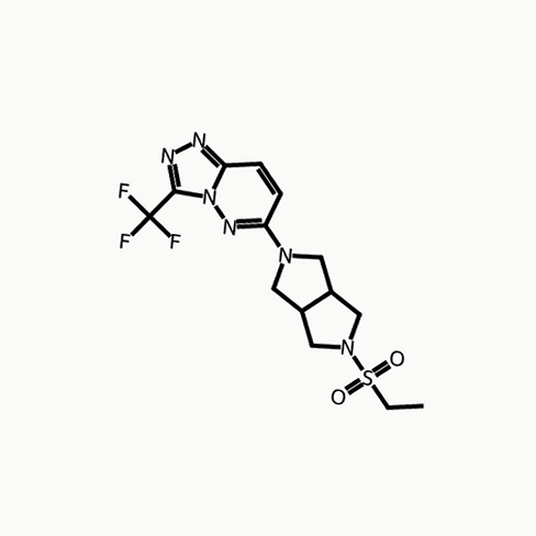 CCS(=O)(=O)N1CC2CN(c3ccc4nnc(C(F)(F)F)n4n3)CC2C1